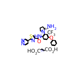 NC[C@H]1CCCN1c1c(NC(=O)c2csc(-c3ccnnc3)n2)ccc(Oc2ccccc2)c1C(F)(F)F.O=C(O)/C=C/C(=O)O